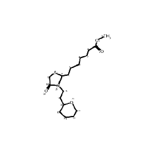 COC(=O)CCCCCCC1SCC(=O)N1CCC1CCCCO1